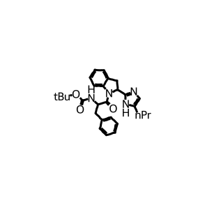 CCCc1cnc(C2Cc3ccccc3N2C(=O)C(Cc2ccccc2)NC(=O)OC(C)(C)C)[nH]1